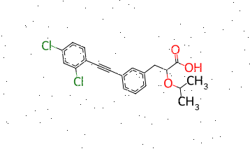 CC(C)OC(Cc1cccc(C#Cc2ccc(Cl)cc2Cl)c1)C(=O)O